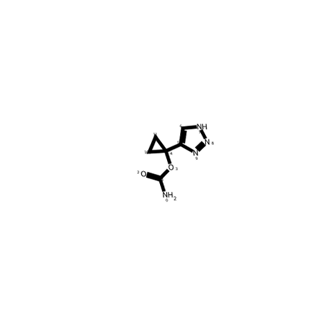 NC(=O)OC1(c2c[nH]nn2)CC1